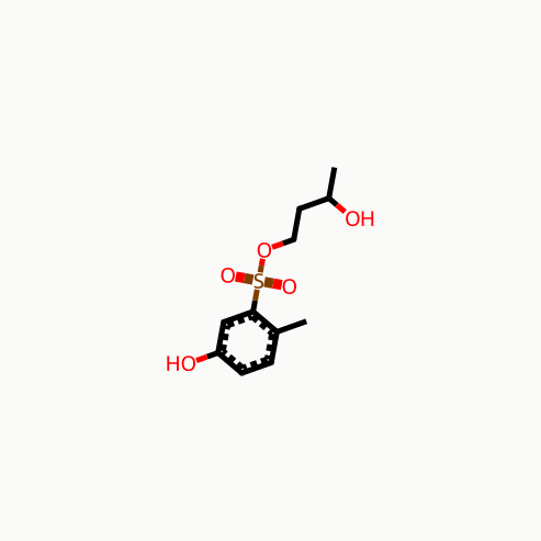 Cc1ccc(O)cc1S(=O)(=O)OCCC(C)O